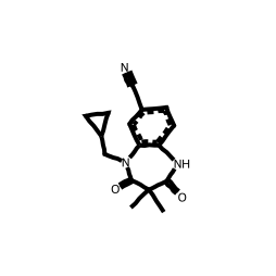 CC1(C)C(=O)Nc2ccc(C#N)cc2N(CC2CC2)C1=O